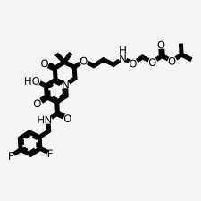 CC(C)OC(=O)OCONCCCOC1Cn2cc(C(=O)NCc3ccc(F)cc3F)c(=O)c(O)c2C(=O)C1(C)C